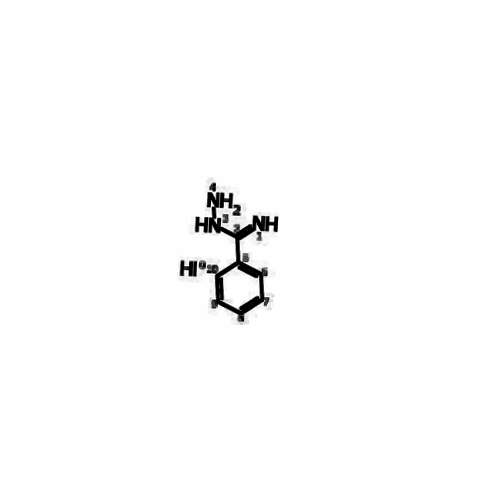 I.N=C(NN)c1ccccc1